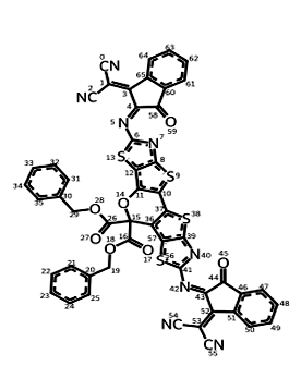 N#CC(C#N)=C1/C(=N/c2nc3sc4c(c3s2)OC(C(=O)OCc2ccccc2)(C(=O)OCc2ccccc2)c2c-4sc3nc(/N=C4\C(=O)c5ccccc5C4=C(C#N)C#N)sc23)C(=O)c2ccccc21